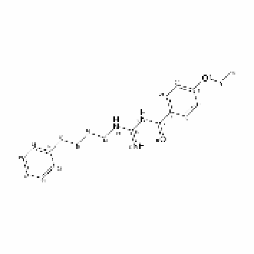 CCOc1ccc(C(=O)NC(=N)NCCCCc2ccccc2)cc1